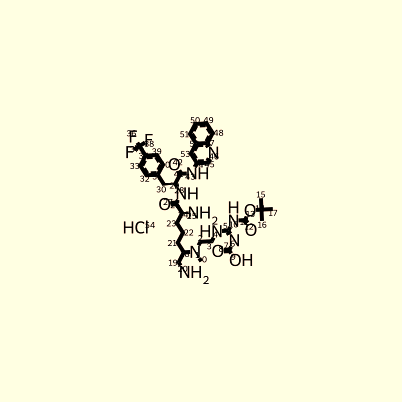 CN(CCN/C(=N\C(=O)O)NC(=O)OC(C)(C)C)C(CN)CCC[C@H](N)C(=O)N[C@@H](Cc1ccc(C(F)(F)F)cc1)C(=O)Nc1cnc2ccccc2c1.Cl